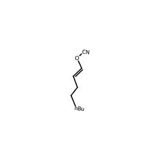 CCCCCCC=COC#N